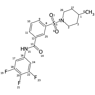 CC1CCN(S(=O)(=O)c2cccc(C(=O)Nc3cc(F)c(F)c(F)c3)c2)CC1